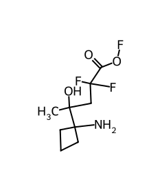 CC(O)(CC(F)(F)C(=O)OF)C1(N)CCC1